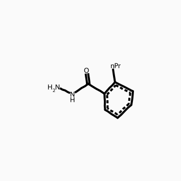 CCCc1ccccc1C(=O)NN